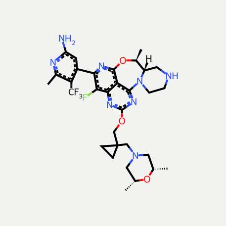 Cc1nc(N)cc(-c2nc3c4c(nc(OCC5(CN6C[C@@H](C)O[C@@H](C)C6)CC5)nc4c2F)N2CCNC[C@H]2[C@H](C)O3)c1C(F)(F)F